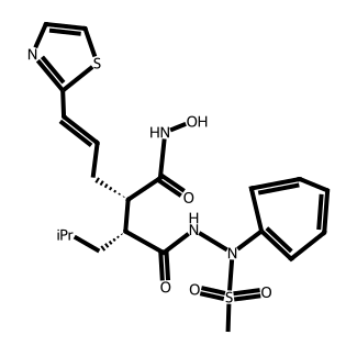 CC(C)C[C@@H](C(=O)NN(c1ccccc1)S(C)(=O)=O)[C@H](CC=Cc1nccs1)C(=O)NO